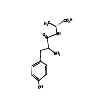 C[C@@H](NC(=O)C(N)Cc1ccc(O)cc1)C(=O)O